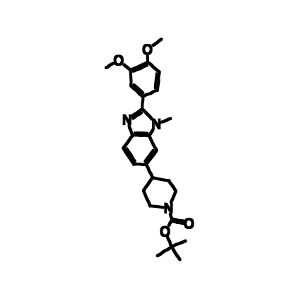 COc1ccc(-c2nc3ccc(C4CCN(C(=O)OC(C)(C)C)CC4)cc3n2C)cc1OC